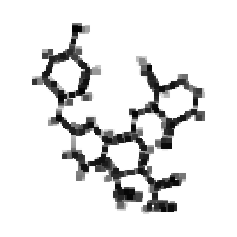 COC(=O)c1cc(CN2C(=O)CCCC2=O)c2cc(Cc3ccc(F)cc3)cnc2c1OC